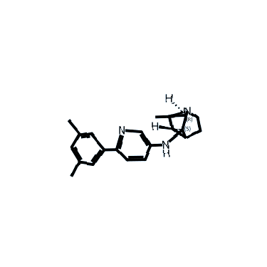 Cc1cc(C)cc(-c2ccc(N[C@H]3C4CCN(CC4)[C@@H]3C)cn2)c1